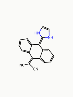 N#CC(C#N)=c1c2ccccc2c(=C2NC=CN2)c2ccccc12